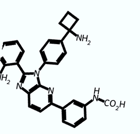 Nc1ncccc1-c1nc2ccc(-c3cccc(NC(=O)O)c3)nc2n1-c1ccc(C2(N)CCC2)cc1